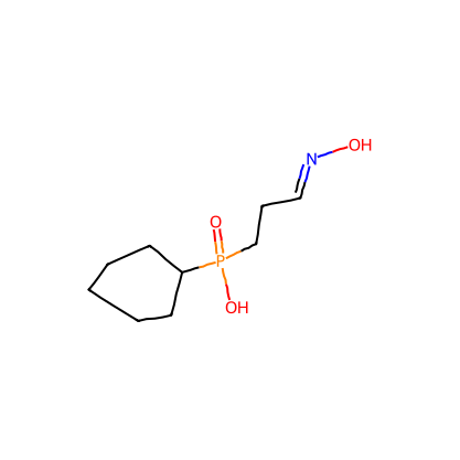 O=P(O)(CCC=NO)C1CCCCC1